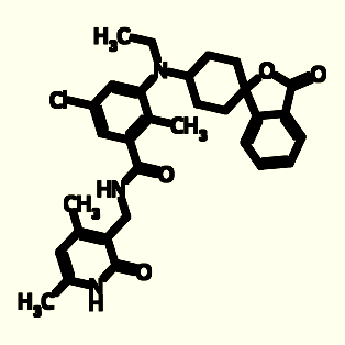 CCN(c1cc(Cl)cc(C(=O)NCc2c(C)cc(C)[nH]c2=O)c1C)C1CCC2(CC1)OC(=O)c1ccccc12